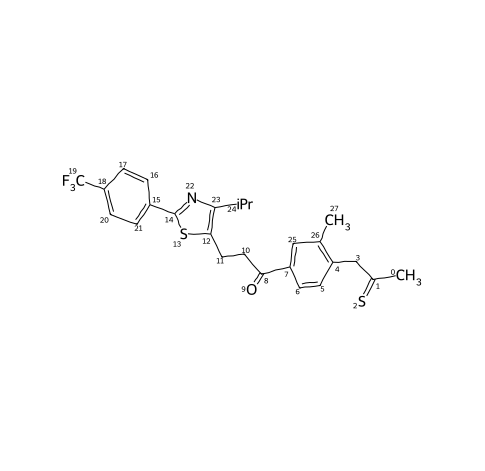 CC(=S)Cc1ccc(C(=O)CCc2sc(-c3ccc(C(F)(F)F)cc3)nc2C(C)C)cc1C